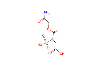 NC(=O)COC(=O)C(CC(=O)O)S(=O)(=O)O